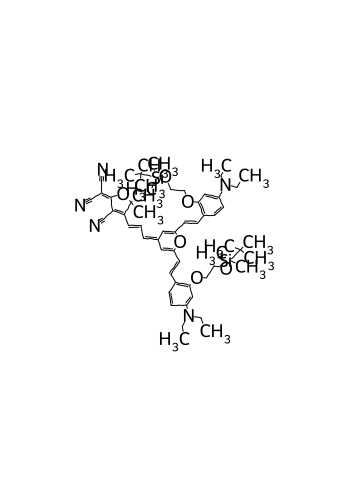 CCN(CC)c1ccc(/C=C/C2=CC(=C/C=C/C3=C(C#N)C(=C(C#N)C#N)OC3(C)C)C=C(/C=C/c3ccc(N(CC)CC)cc3OCCO[Si](C)(C)C(C)(C)C)O2)c(OCCO[Si](C)(C)C(C)(C)C)c1